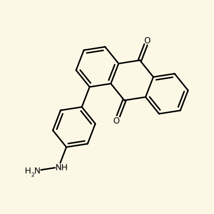 NNc1ccc(-c2cccc3c2C(=O)c2ccccc2C3=O)cc1